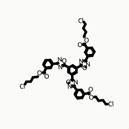 O=C(OCCCCCl)c1cccc(-c2noc(-c3cc(-c4nc(-c5cccc(C(=O)OCCCCCl)c5)no4)cc(-c4nc(-c5cccc(C(=O)OCCCCCl)c5)no4)c3)n2)c1